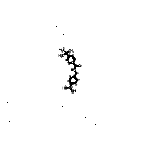 CC(C)(C)c1ccc(C(=O)NCc2ccc(B(O)O)cc2)cc1